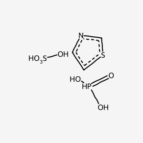 O=S(=O)(O)O.O=[PH](O)O.c1cscn1